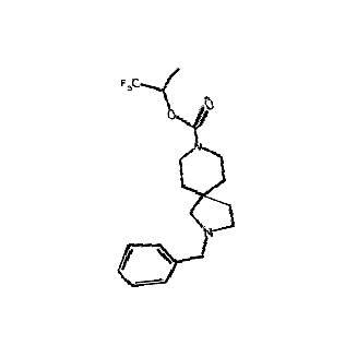 CC(OC(=O)N1CCC2(CCN(Cc3ccccc3)C2)CC1)C(F)(F)F